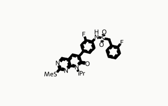 CSc1ncc2cc(-c3ccc(NS(=O)(=O)Cc4ccccc4F)c(F)c3)c(=O)n(C(C)C)c2n1